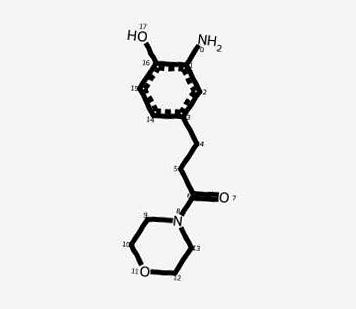 Nc1cc(CCC(=O)N2CCOCC2)ccc1O